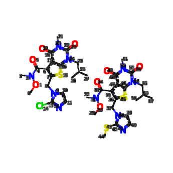 CON(C)C(=O)c1c(Cn2ccnc2Cl)sc2c1c(=O)n(C)c(=O)n2CC(C)C.CON(C)C(=O)c1c(Cn2ccnc2SC)sc2c1c(=O)n(C)c(=O)n2CC(C)C